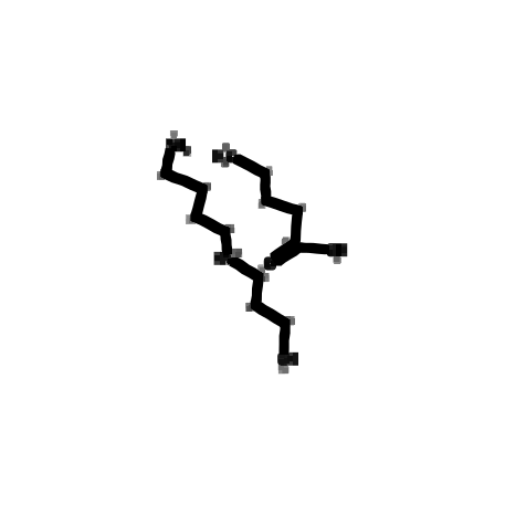 CCCCC(=O)O.NCCCCNCCCO